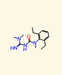 CCc1cccc(CC)c1N(C)C(=O)NC(=N)N(C)C